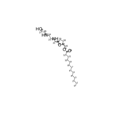 CCCCCCCCCCCCCC(=O)OC[C@@H]1CC[C@H](CNCCNCCO)O1